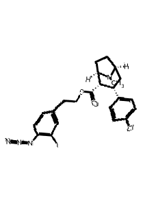 CN1[C@H]2CC[C@@H]1[C@@H](C(=O)OCCc1ccc(N=[N+]=[N-])c(I)c1)[C@@H](c1ccc(Cl)cc1)C2